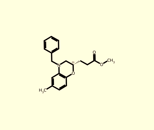 COC(=O)CC[C@H]1CN(Cc2ccccc2)c2cc(C)ccc2O1